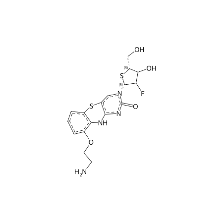 NCCOc1cccc2c1Nc1nc(=O)n([C@@H]3S[C@H](CO)C(O)C3F)cc1S2